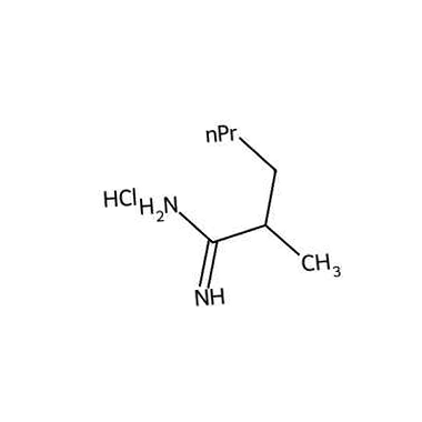 CCCCC(C)C(=N)N.Cl